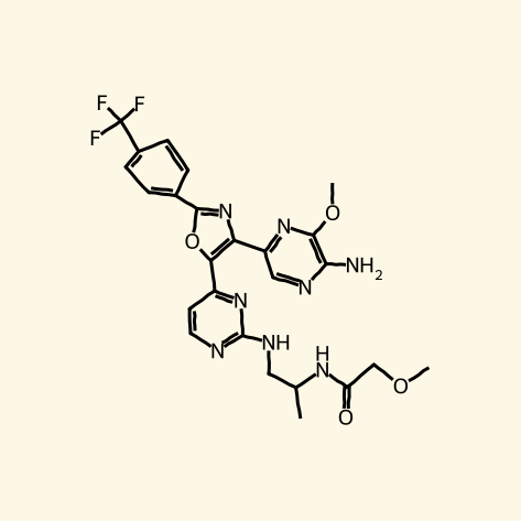 COCC(=O)NC(C)CNc1nccc(-c2oc(-c3ccc(C(F)(F)F)cc3)nc2-c2cnc(N)c(OC)n2)n1